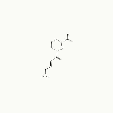 CN(C)C/C=C/C(=O)N1CCC[C@@H](C(=O)[O-])C1.[Li+]